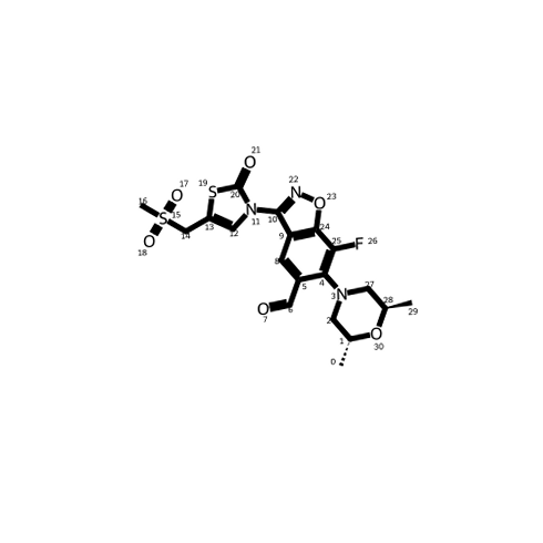 C[C@@H]1CN(c2c(C=O)cc3c(-n4cc(CS(C)(=O)=O)sc4=O)noc3c2F)C[C@@H](C)O1